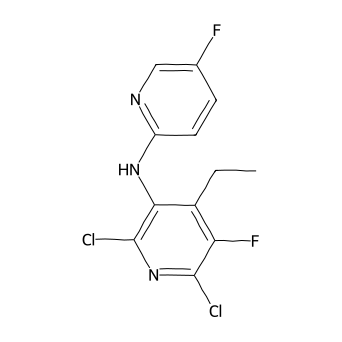 CCc1c(F)c(Cl)nc(Cl)c1Nc1ccc(F)cn1